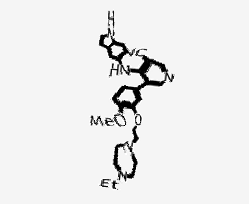 CCN1CCN(CCOc2cc(-c3cncc(C#N)c3Nc3ccc4[nH]ccc4c3)ccc2OC)CC1